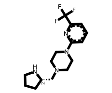 FC(F)(F)c1cccc(N2CCN(C[C@@H]3CCCN3)CC2)n1